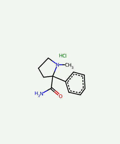 CN1CCCC1(C(N)=O)c1ccccc1.Cl